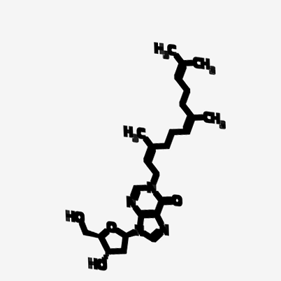 CC(C)=CCCC(C)=CCCC(C)=CCn1cnc2c(ncn2[C@H]2C[C@H](O)[C@@H](CO)O2)c1=O